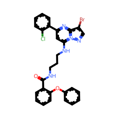 O=C(NCCCNc1cc(-c2ccccc2Cl)nc2c(Br)cnn12)c1ccccc1Oc1ccccc1